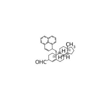 C[C@@]12CCC[C@H]1[C@@H]1CCC3=CC(C=O)CC[C@]3(CC3C=Cc4cccc5cccc3c45)[C@H]1CC2